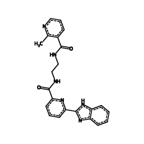 Cc1ncccc1C(=O)NCCNC(=O)c1cccc(-c2nc3ccccc3[nH]2)n1